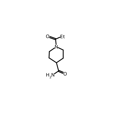 CCC(=O)N1CCC(C(N)=O)CC1